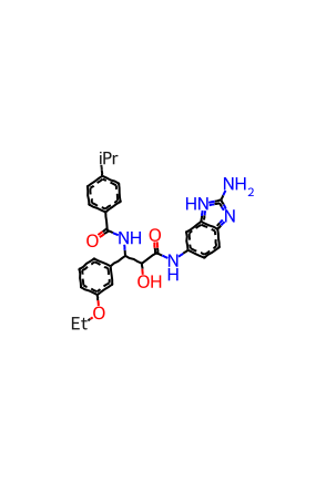 CCOc1cccc(C(NC(=O)c2ccc(C(C)C)cc2)C(O)C(=O)Nc2ccc3nc(N)[nH]c3c2)c1